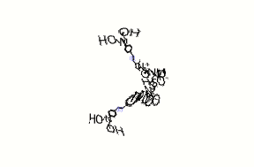 CC1C(/C=C/c2ccc(N(CCO)CCO)cc2)=CC=[N+]1CC(=O)NC(CSSCC(NC(=O)C[n+]1ccc(/C=C/c2ccc(N(CCO)CCO)cc2)cc1)C(=O)[O-])C(=O)[O-]